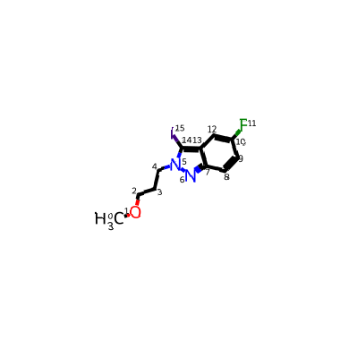 COCCCn1nc2ccc(F)cc2c1I